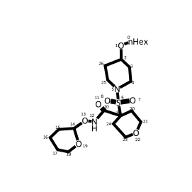 CCCCCCOC1CCN(S(=O)(=O)C2(C(=O)NOC3CCCCO3)CCOCC2)CC1